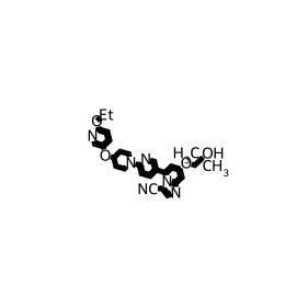 CCOc1ccc(OC2CCN(c3ccc(-c4cc(OCC(C)(C)O)cc5ncc(C#N)n45)cn3)CC2)cn1